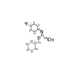 C#CC(=Nc1ccc(F)cc1)SCC1CCCCC1